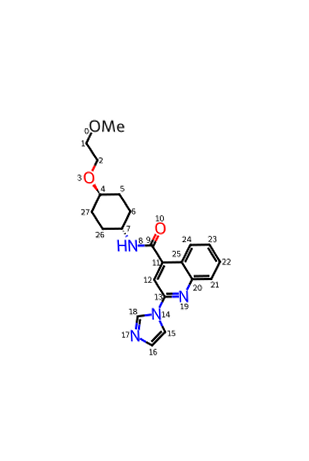 COCCO[C@H]1CC[C@H](NC(=O)c2cc(-n3ccnc3)nc3ccccc23)CC1